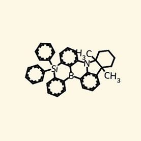 CC12CCCCC1(C)N1c3cccc4c3B(c3ccccc3[Si]4(c3ccccc3)c3ccccc3)c3cccc2c31